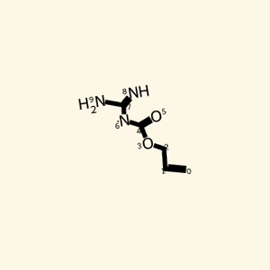 C=CCOC(=O)[N]C(=N)N